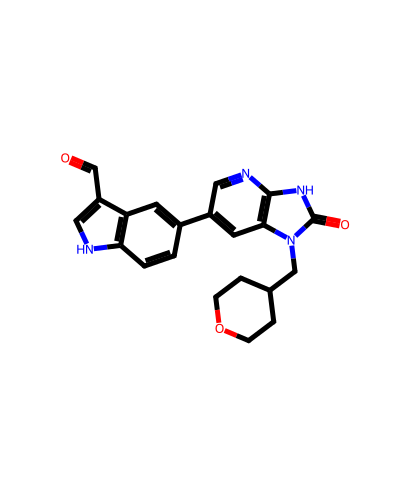 O=Cc1c[nH]c2ccc(-c3cnc4[nH]c(=O)n(CC5CCOCC5)c4c3)cc12